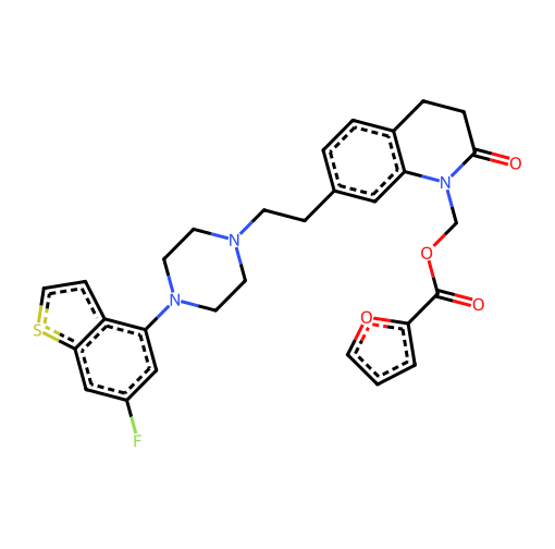 O=C(OCN1C(=O)CCc2ccc(CCN3CCN(c4cc(F)cc5sccc45)CC3)cc21)c1ccco1